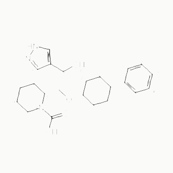 O=C(O)N1CCC[C@H](c2n[nH]cc2CO)[C@@H]1CO[C@H]1CC[C@@H](c2ccccc2)CC1